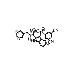 COP(=O)(c1cc(C#N)cc(C#N)c1)c1c(C(=O)NCc2cncnc2)[nH]c2ccc(I)cc12